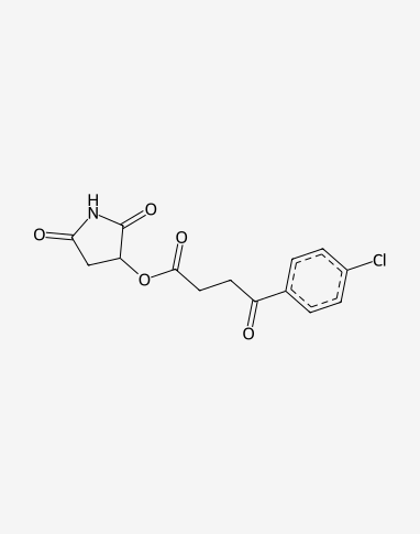 O=C1CC(OC(=O)CCC(=O)c2ccc(Cl)cc2)C(=O)N1